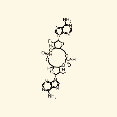 Nc1ncnc2c1ncn2[C@@H]1O[C@@H]2CO[PH](=O)O[C@@H]3C(CO[P@@](=O)(S)O[C@H]2[C@H]1F)O[C@@H](n1cnc2c(N)ncnc21)[C@@H]3F